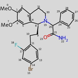 COc1cc2c(cc1OC)[C@H](CCc1ccc(Br)cc1F)N(C(C(N)=O)c1ccccc1)CC2